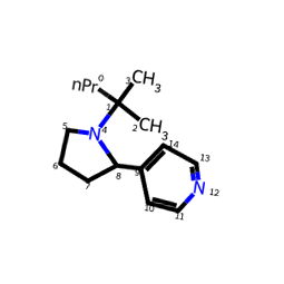 CCCC(C)(C)N1CCCC1c1ccncc1